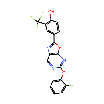 Oc1ccc(-c2nc3cnc(Oc4ccccc4F)nc3o2)cc1C(F)(F)F